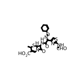 CC1S[C@@H]2C(NC(=O)C(=NOC3C=CCCC3)c3csc(NC=O)n3)C(=O)N2C=C1C(=O)O